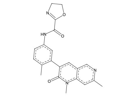 Cc1cc2c(cn1)cc(-c1cc(NC(=O)C3=NCCO3)ccc1C)c(=O)n2C